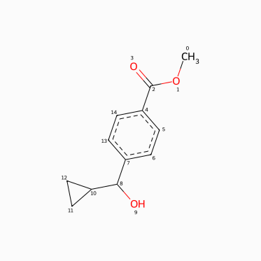 COC(=O)c1ccc(C(O)C2CC2)cc1